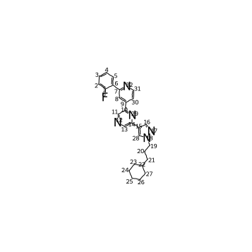 Fc1ccccc1-c1cc(-c2cncc(-c3cnn(CCCC4CCCCC4)c3)n2)ccn1